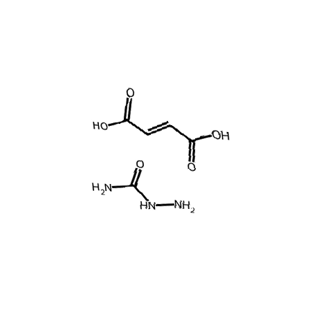 NNC(N)=O.O=C(O)C=CC(=O)O